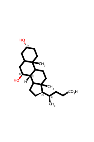 C[C@H](CCC(=O)O)[C@H]1CCC2[C@H]3C(CCC21C)C1(C)CC[C@@H](O)CC1C[C@@H]3O